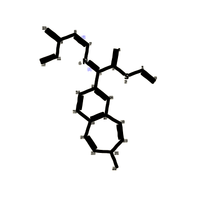 C=CSC(=C)/C(=N\C=C/C(=C)C=C)c1ccc2c(c1)C=CC(C)C=C2